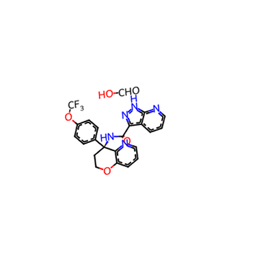 O=C(N[C@]1(c2ccc(OC(F)(F)F)cc2)CCOc2cccnc21)c1n[nH]c2ncccc12.O=CO